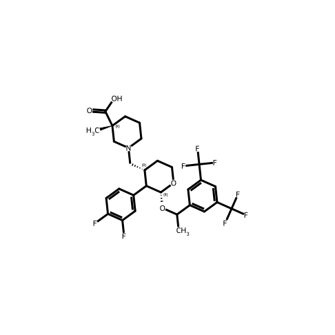 CC(O[C@H]1OCC[C@@H](CN2CCC[C@@](C)(C(=O)O)C2)C1c1ccc(F)c(F)c1)c1cc(C(F)(F)F)cc(C(F)(F)F)c1